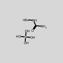 CCCCNC(N)=O.O[Si](O)(O)O